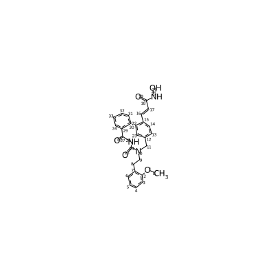 COc1ccccc1CCN(Cc1ccc(/C=C/C(=O)NO)cc1)C(=O)NC(=O)c1ccccc1